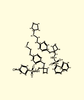 CSCCc1ccc(CC2(CNS(=O)(=O)c3ccc(Cl)cc3)CCC2)cc1.O=S(=O)(NCC1(Cc2ccc(CCSC3CCCC3)cc2)CCC1)c1cccc2ccccc12